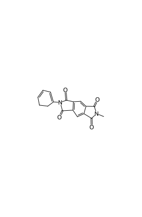 Cn1c(=O)c2cc3c(=O)n(C4=CC=CCC4)c(=O)c3cc2c1=O